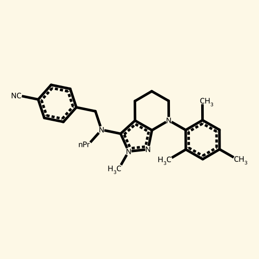 CCCN(Cc1ccc(C#N)cc1)c1c2c(nn1C)N(c1c(C)cc(C)cc1C)CCC2